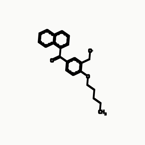 CCCCCOc1ccc(C(=O)c2cccc3ccccc23)cc1C[O]